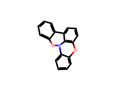 c1ccc2c(c1)ON1c3ccccc3Oc3cccc-2c31